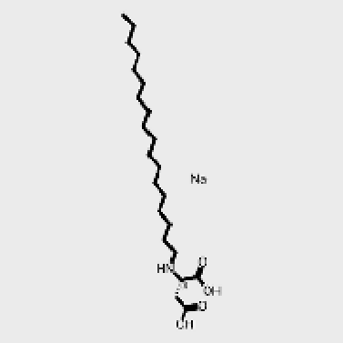 CCCCCCCCCCCCCCCCCCN[C@@H](CC(=O)O)C(=O)O.[Na]